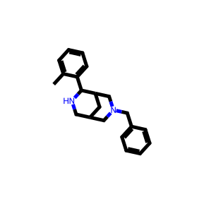 Cc1ccccc1C1NCC2CC1CN(Cc1ccccc1)C2